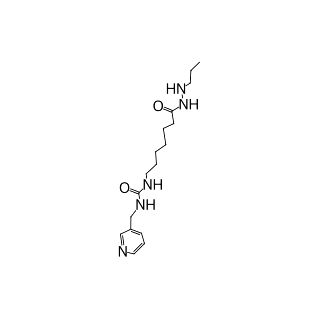 CCCNNC(=O)CCCCCCNC(=O)NCc1cccnc1